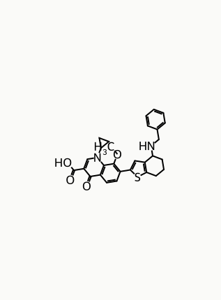 COc1c(-c2cc3c(s2)CCCC3NCc2ccccc2)ccc2c(=O)c(C(=O)O)cn(C3CC3)c12